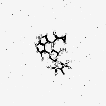 CC(S(=O)(=O)O)S(=O)(=O)O.N[C@@H]1CCCN(c2c(Br)cnc3[nH]cc(NC(=O)C4CC4)c23)C1